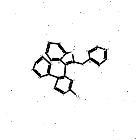 [O]c1ccc(-c2ccccc2)c(-c2c(Cc3ccccc3)oc3ccccc23)c1